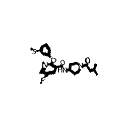 CSc1cccc(Oc2ncc(F)cc2C(=O)NC2CCN(C(=O)CC(C)C)CC2)c1